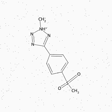 [CH2-][NH+]1N=NC(c2ccc(S(C)(=O)=O)cc2)=N1